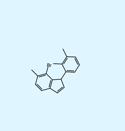 Cc1cccc(C2C=Cc3ccc(C)c(Br)c32)c1C